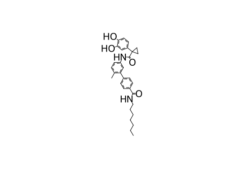 CCCCCCCNC(=O)c1ccc(-c2cc(NC(=O)C3(c4ccc(O)c(O)c4)CC3)ccc2C)cc1